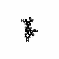 CC(C)(C)OC(=O)C1CNCCN1c1ncc(-n2cc(N)c(C(F)F)n2)cn1